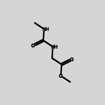 CNC(=O)NCC(=O)OC